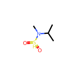 CC(C)N(C)[SH](=O)=O